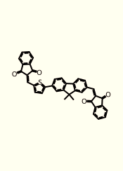 CC1(C)c2cc(C=C3C(=O)c4ccccc4C3=O)ccc2-c2ccc(-c3ccc(C=C4C(=O)c5ccccc5C4=O)s3)cc21